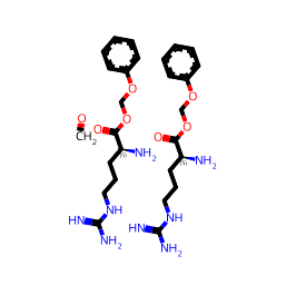 C=O.N=C(N)NCCC[C@H](N)C(=O)OCOc1ccccc1.N=C(N)NCCC[C@H](N)C(=O)OCOc1ccccc1